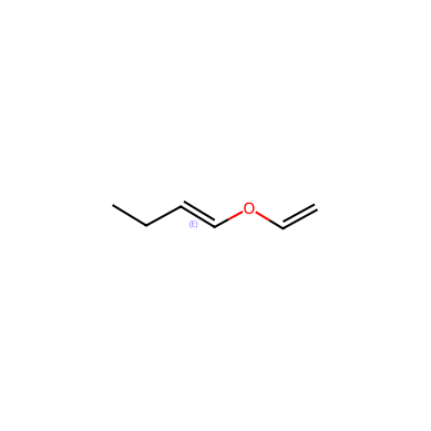 C=CO/C=C/CC